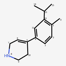 Cc1ccc(C2=CCNCC2)cc1C(C)C